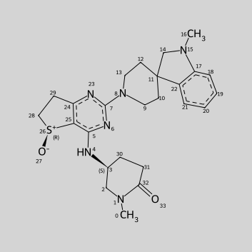 CN1C[C@@H](Nc2nc(N3CCC4(CC3)CN(C)c3ccccc34)nc3c2[S@@+]([O-])CC3)CCC1=O